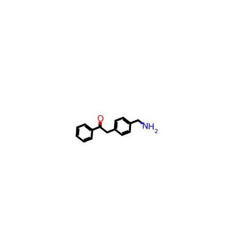 NCc1ccc(CC(=O)c2ccccc2)cc1